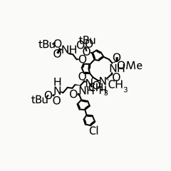 COC(=O)[C@@H]1Cc2ccc(OC(=O)OC(C)(C)C)c(c2)-c2cc(ccc2OCCCNC(=O)OC(C)(C)C)[C@H](N(C)C(=O)[C@H](CCCCNC(=O)OC(C)(C)C)NC(=O)c2ccc(-c3ccc(Cl)cc3)cc2)C(=O)N[C@@H](C)C(=O)N1